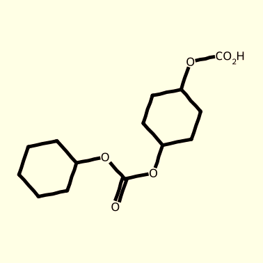 O=C(O)OC1CCC(OC(=O)OC2CCCCC2)CC1